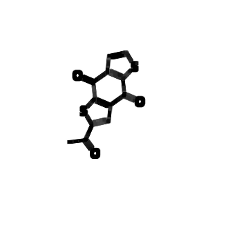 CC(=O)c1cc2c(s1)C(=O)c1ccsc1C2=O